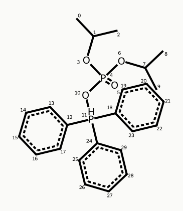 CC(C)OP(=O)(OC(C)C)O[PH](c1ccccc1)(c1ccccc1)c1ccccc1